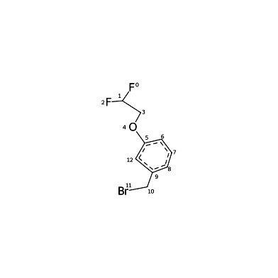 FC(F)COc1cccc(CBr)c1